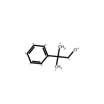 CC(C)(CCl)c1[c]cccc1